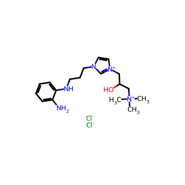 C[N+](C)(C)CC(O)C[n+]1ccn(CCCNc2ccccc2N)c1.[Cl-].[Cl-]